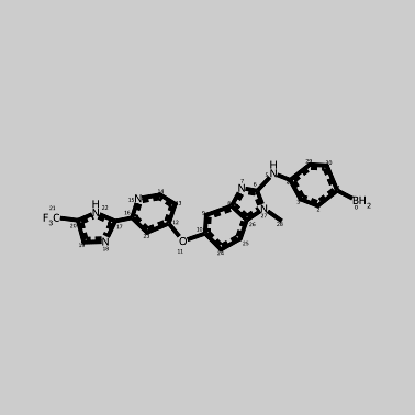 Bc1ccc(Nc2nc3cc(Oc4ccnc(-c5ncc(C(F)(F)F)[nH]5)c4)ccc3n2C)cc1